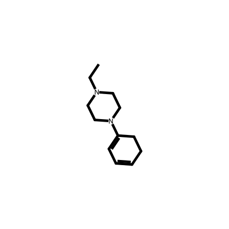 CCN1CCN(C2=CC=CCC2)CC1